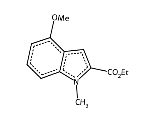 CCOC(=O)c1cc2c(OC)cccc2n1C